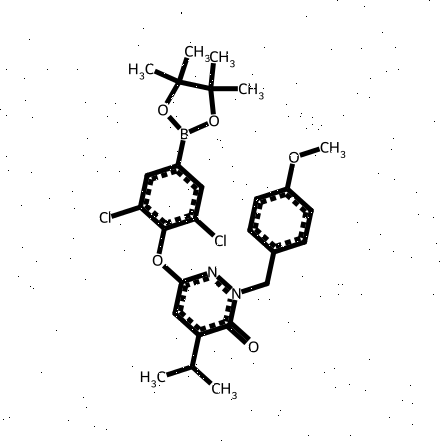 COc1ccc(Cn2nc(Oc3c(Cl)cc(B4OC(C)(C)C(C)(C)O4)cc3Cl)cc(C(C)C)c2=O)cc1